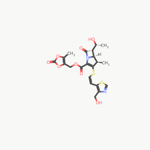 Cc1oc(=O)oc1COC(=O)C1=C(S/C=C\c2scnc2CO)[C@H](C)[C@@H]2[C@@H]([C@@H](C)O)C(=O)N12